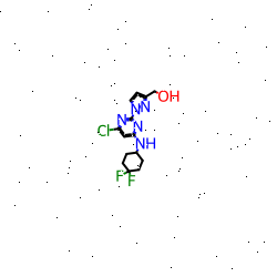 OCc1ccn(-c2nc(Cl)cc(NC3CCC(F)(F)CC3)n2)n1